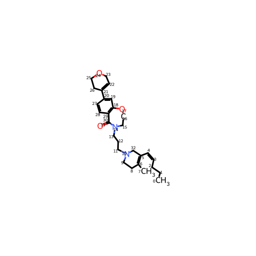 CCC/C=C\C1=C(C)CCN(CCCN2CCOc3cc(C4=CCOCC4)ccc3C2=O)C1